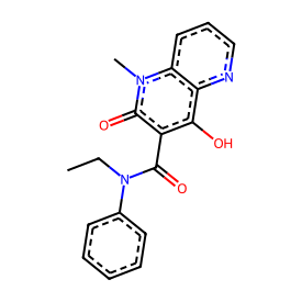 CCN(C(=O)c1c(O)c2ncccc2n(C)c1=O)c1ccccc1